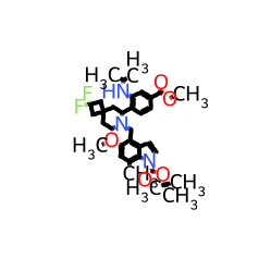 COC(=O)c1ccc(C2CC3(CCN2Cc2c(OC)cc(C)c4c2ccn4C(=O)OC(C)(C)C)CC(F)(F)C3)c(NC(C)C)c1